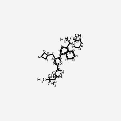 CC(c1ccc(-c2sc(-c3nnc(CC(C)(C)C)o3)nc2CC2CCC2)c2ccccc12)N1CCOCC1(C)C